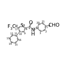 O=Cc1ccc(NC(=O)c2cc(-c3ccccc3)c(C(F)(F)F)s2)cc1